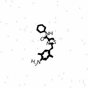 Cc1cc(Cc2nc(C(=O)NC3CCCCC3)cs2)c(C)cc1N